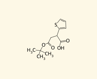 CC(C)(C)OC(=O)CC(C(=O)O)c1cccs1